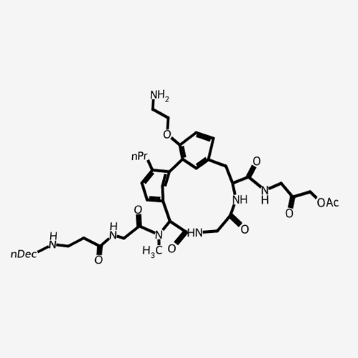 CCCCCCCCCCNCCC(=O)NCC(=O)N(C)C1C(=O)NCC(=O)NC(C(=O)NCC(=O)COC(C)=O)Cc2ccc(OCCN)c(c2)-c2cc1ccc2CCC